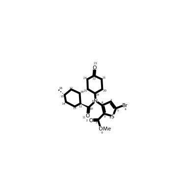 COC(=O)c1sc(Br)cc1N(C(=O)[C@H]1CC[C@H](C)CC1)C1CCC(=O)CC1